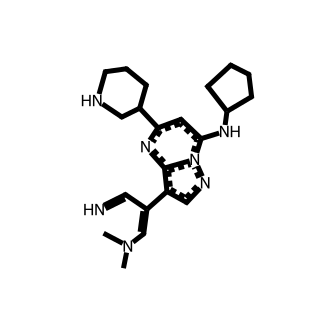 CN(C)/C=C(\C=N)c1cnn2c(NC3CCCC3)cc(C3CCCNC3)nc12